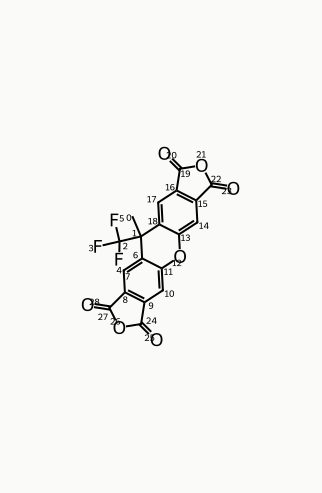 CC1(C(F)(F)F)c2cc3c(cc2Oc2cc4c(cc21)C(=O)OC4=O)C(=O)OC3=O